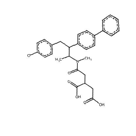 CC(C(Cc1ccc(Cl)cc1)c1ccc(-c2ccccc2)cc1)N(C)C(=O)CC(CC(=O)O)C(=O)O